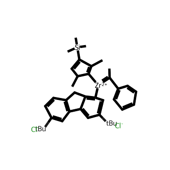 CC1=[C](/[Zr+2](=[C](\C)c2ccccc2)[c]2cc(C(C)(C)C)cc3c2Cc2ccc(C(C)(C)C)cc2-3)C(C)C=C1[Si](C)(C)C.[Cl-].[Cl-]